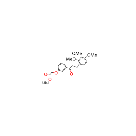 COc1ccc(CCC(=O)c2cccc(OCC(=O)OC(C)(C)C)c2)c(OC)c1OC